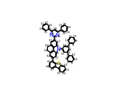 c1ccc(-c2cc(-c3ccccc3)cc(-n3c4cc(-c5nc(-c6ccccc6)cc(-c6ccccc6)n5)cc5c4c4c(cc(-c6cccc7c6sc6ccccc67)cc43)CC5)c2)cc1